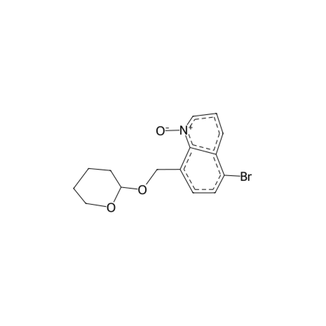 [O-][n+]1cccc2c(Br)ccc(COC3CCCCO3)c21